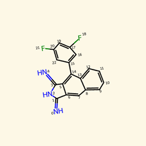 N=C1NC(=N)c2c1cc1ccccc1c2-c1cc(F)cc(F)c1